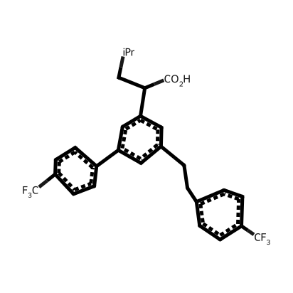 CC(C)CC(C(=O)O)c1cc(CCc2ccc(C(F)(F)F)cc2)cc(-c2ccc(C(F)(F)F)cc2)c1